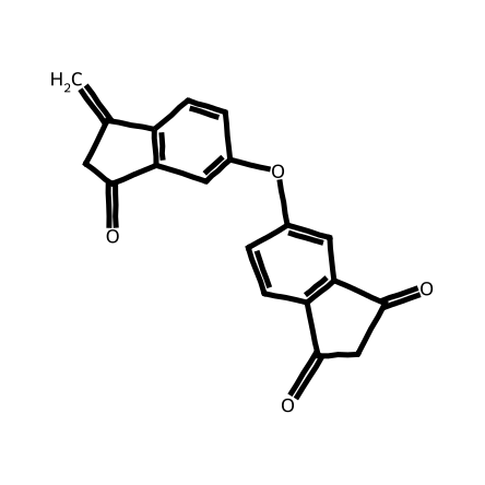 C=C1CC(=O)c2cc(Oc3ccc4c(c3)C(=O)CC4=O)ccc21